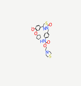 COc1ccc(C2=NN(Cc3ccc(NC(=O)OCCN4CCSCC4)cc3)C(=O)SC2)cc1OC1CCCC1